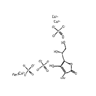 O=C1O[C@H]([C@@H](O)CO)C(O)=C1O.O=P([O-])([O-])[O-].O=P([O-])([O-])[O-].O=P([O-])([O-])[O-].[Ca+2].[Ca+2].[Ca+2].[Fe+3]